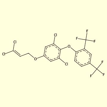 FC(F)(F)c1ccc(Oc2c(Cl)cc(OCC=C(Cl)Cl)cc2Cl)c(C(F)(F)F)c1